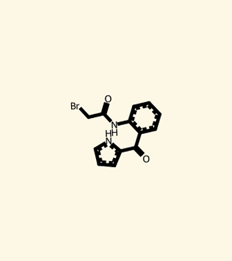 O=C(CBr)Nc1ccccc1C(=O)c1ccc[nH]1